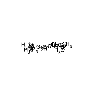 CO[Si](CCCOCC(O)COCCOCC(O)COCCC[Si](OC)(OC)OC)(OC)OC